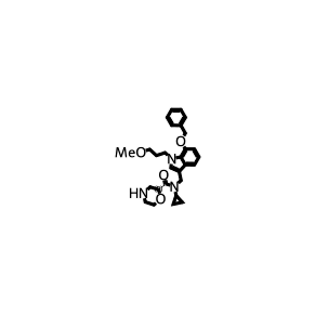 COCCCn1cc(CN(C(=O)[C@H]2CNCCO2)C2CC2)c2cccc(OCc3ccccc3)c21